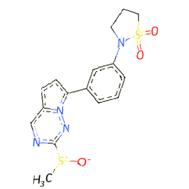 C[S+]([O-])c1ncc2ccc(-c3cccc(N4CCCS4(=O)=O)c3)n2n1